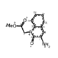 COC(=O)Cn1c(=O)c(N)cc2ccccc21